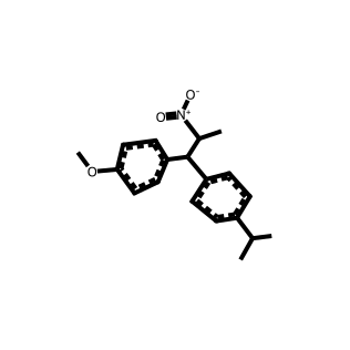 COc1ccc(C(c2ccc(C(C)C)cc2)C(C)[N+](=O)[O-])cc1